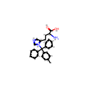 Cc1ccc(C(c2ccccc2)(c2ccccc2)n2cncc2CCC(N)C(=O)O)cc1